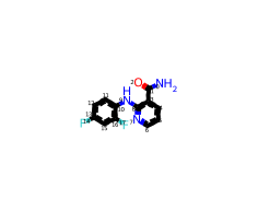 NC(=O)c1cccnc1Nc1ccc(F)cc1F